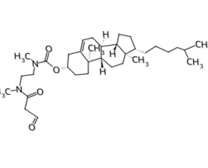 CC(C)CCCC[C@H]1CC[C@H]2[C@@H]3CC=C4C[C@@H](OC(=O)N(C)CCN(C)C(=O)CC=O)CC[C@]4(C)[C@H]3CC[C@]12C